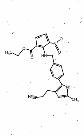 CCOC(=O)c1cccc([N+](=O)[O-])c1NCc1ccc(-c2[nH]c(C)cc2CCC#N)cc1